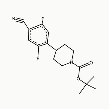 CC(C)(C)OC(=O)N1CCC(c2cc(F)c(C#N)cc2F)CC1